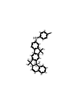 Cc1ccc(Nc2ccc3c(c2)C(C)(C)c2cc4c(cc2-3)C(C)(C)C2C=Cc3ccccc3[C@@]42C)cc1